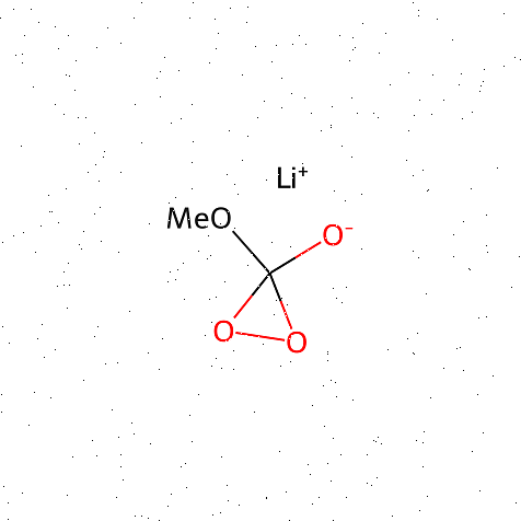 COC1([O-])OO1.[Li+]